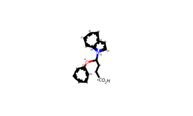 O=C(O)CCC(Oc1ccccc1)n1ccc2ccccc21